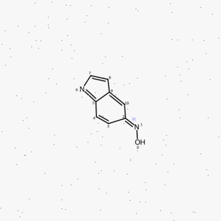 O/N=C1\C=CC2=NC=CC2=C1